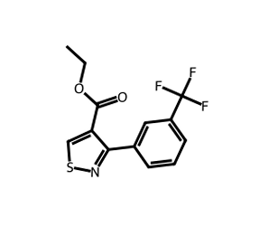 CCOC(=O)c1csnc1-c1cccc(C(F)(F)F)c1